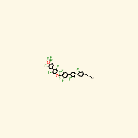 CCCCCc1ccc(-c2ccc(-c3cc(F)c(C(F)(F)Oc4cc(F)c(-c5ccc(OC(F)(F)F)c(F)c5)c(F)c4)c(F)c3)c(F)c2)c(F)c1